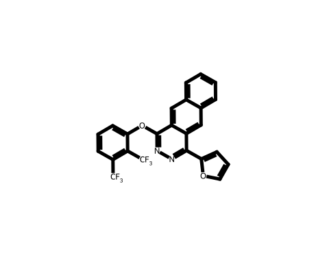 FC(F)(F)c1cccc(Oc2nnc(-c3ccco3)c3cc4ccccc4cc23)c1C(F)(F)F